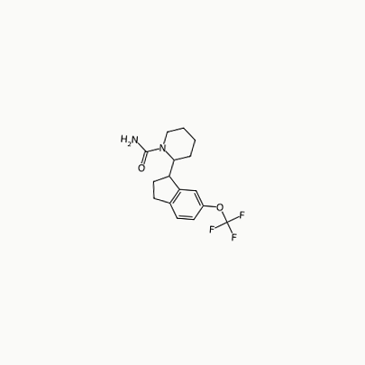 NC(=O)N1CCCCC1C1CCc2ccc(OC(F)(F)F)cc21